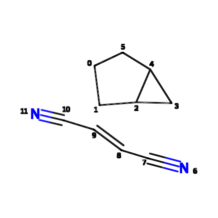 C1CC2CC2C1.N#CC=CC#N